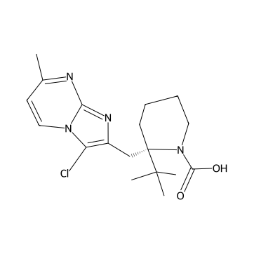 Cc1ccn2c(Cl)c(C[C@]3(C(C)(C)C)CCCCN3C(=O)O)nc2n1